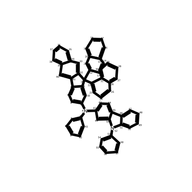 c1ccc(N(c2ccc3c(c2)C(c2ccc4ccccc4c2)(c2cccc4ccccc24)c2cc4ccccc4cc2-3)c2ccc3c4ccccc4n(-c4ccccc4)c3c2)cc1